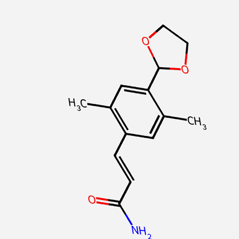 Cc1cc(C2OCCO2)c(C)cc1C=CC(N)=O